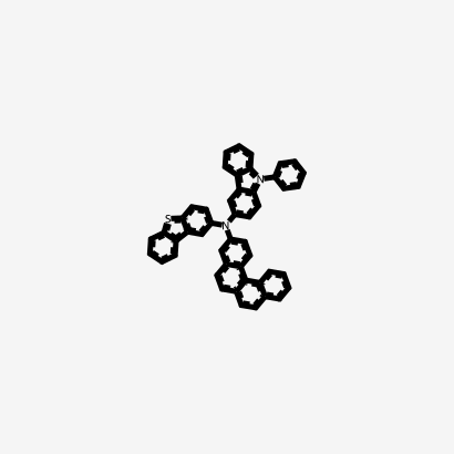 c1ccc(-n2c3ccccc3c3cc(N(c4ccc5c(ccc6ccc7ccccc7c65)c4)c4ccc5sc6ccccc6c5c4)ccc32)cc1